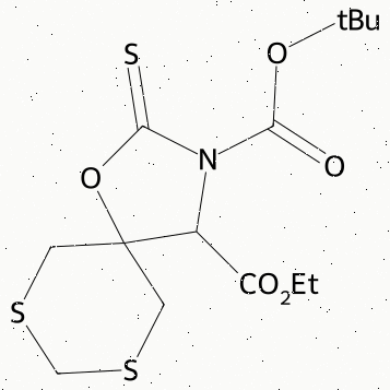 CCOC(=O)C1N(C(=O)OC(C)(C)C)C(=S)OC12CSCSC2